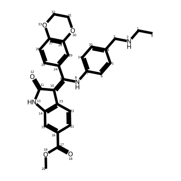 CCNCc1ccc(NC(=C2C(=O)Nc3cc(C(=O)OC)ccc32)c2ccc3c(c2)OCCO3)cc1